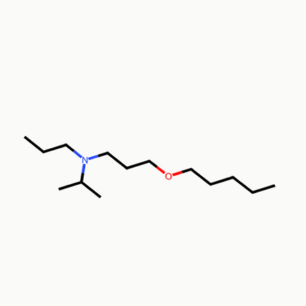 CCCCCOCCCN(CCC)C(C)C